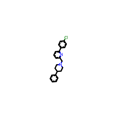 Clc1ccc(-c2cccc(CN3CCC(c4ccccc4)CC3)n2)cc1